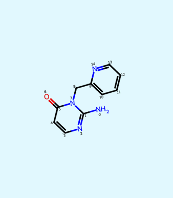 Nc1n[c]cc(=O)n1Cc1ccccn1